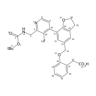 CC(C)(C)OC(=O)NCc1nccc(-c2cc(COc3ccccc3CC(=O)O)cc3c2OCC3)c1F